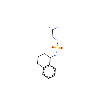 N[C@@H](CNS(=O)(=O)NC1CCCc2ccccc21)C(=O)O